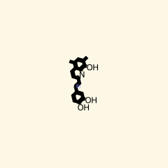 Cc1cc(C)c2ccc(/C=C/c3ccc(O)c(O)c3)nc2c1O